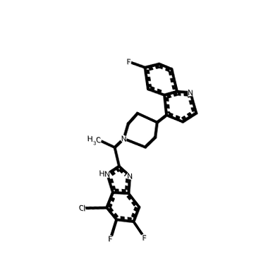 CC(c1nc2cc(F)c(F)c(Cl)c2[nH]1)N1CCC(c2ccnc3ccc(F)cc23)CC1